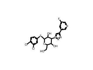 OCC1OC(Sc2ccc(Cl)c(Cl)c2)C(O)C(n2cc(-c3cncc(F)c3)nn2)C1O